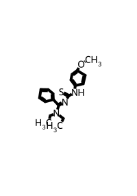 CCN(CC)/C(=N/C(=S)Nc1ccc(OC)cc1)c1ccccc1